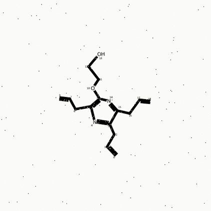 C=CCc1nc(CC=C)c(OCCO)nc1CC=C